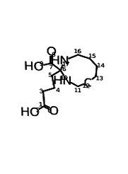 O=C(O)CCCC1(C(=O)O)NCCCCCCN1